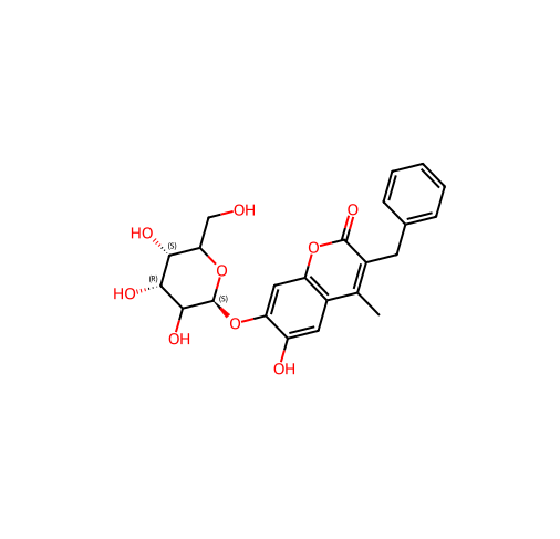 Cc1c(Cc2ccccc2)c(=O)oc2cc(O[C@@H]3OC(CO)[C@@H](O)[C@@H](O)C3O)c(O)cc12